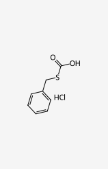 Cl.O=C(O)SCc1ccccc1